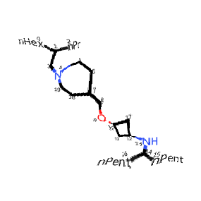 CCCCCCC(CCC)CN1CCC(CO[C@H]2C[C@H](NC(CCCCC)CCCCC)C2)CC1